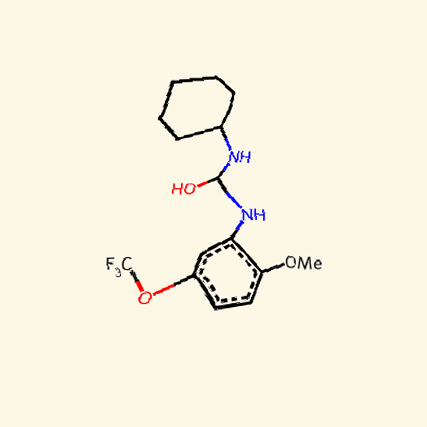 COc1ccc(OC(F)(F)F)cc1NC(O)NC1CCCCC1